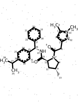 Cc1cc(CC(=O)N2C[C@H](F)C[C@H]2C(=O)N[C@@H](c2ccccc2)c2ccc(C(C)C)cc2)nn1C